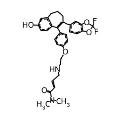 CN(C)C(=O)/C=C/CNCCOc1ccc(C2=C(c3ccc4c(c3)OC(F)(F)O4)CCCc3cc(O)ccc32)cc1